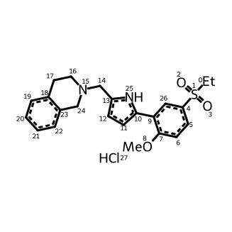 CCS(=O)(=O)c1ccc(OC)c(-c2ccc(CN3CCc4ccccc4C3)[nH]2)c1.Cl